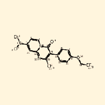 CC[S+]([O-])c1ccn2c(=O)c(-c3ccc(OCC(F)(F)F)cc3)c(C(F)(F)F)nc2c1